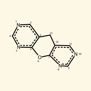 c1ncc2c(n1)Oc1ncncc1C2